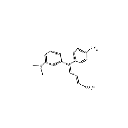 CN(C)c1cccc(/C(=C/C=C/C(=O)O)c2ccc(C(F)(F)F)cc2)c1